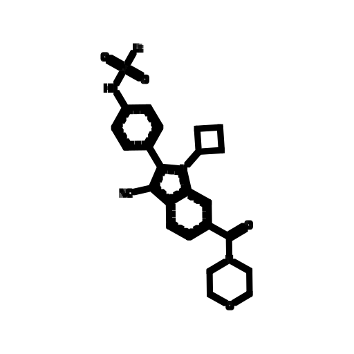 CCS(=O)(=O)Nc1ccc(-c2c(C#N)c3ccc(C(=O)N4CCOCC4)cc3n2C2CCC2)cc1